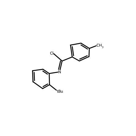 Cc1ccc(/C(Cl)=N/c2ccccc2C(C)(C)C)cc1